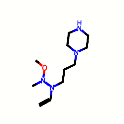 C=CN(CCCN1CCNCC1)N(C)OC